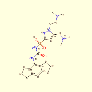 CN(C)CCn1nc(S(=O)(=O)NC(=O)Nc2c3c(cc4c2CCC4)CCC3)cc1CN(C)C